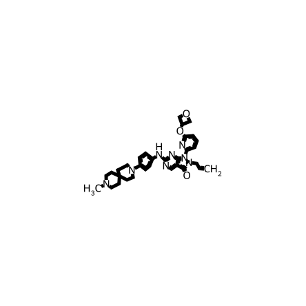 C=CCn1c(=O)c2cnc(Nc3ccc(N4CCC5(CCN(C)CC5)CC4)cc3)nc2n1-c1cccc(OC2COC2)n1